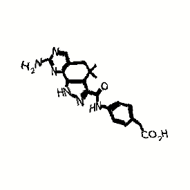 CC1(C)Cc2cnc(N)nc2-c2[nH]nc(C(=O)Nc3ccc(CC(=O)O)cc3)c21